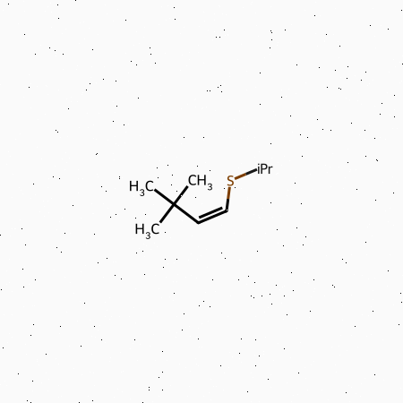 CC(C)S/C=C\C(C)(C)C